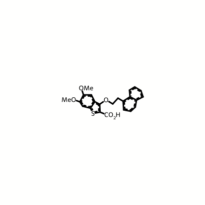 COc1cc2sc(C(=O)O)c(OCCc3cccc4ccccc34)c2cc1OC